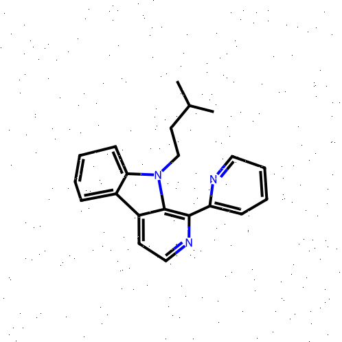 CC(C)CCn1c2ccccc2c2ccnc(-c3ccccn3)c21